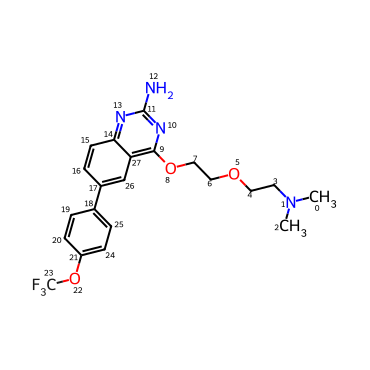 CN(C)CCOCCOc1nc(N)nc2ccc(-c3ccc(OC(F)(F)F)cc3)cc12